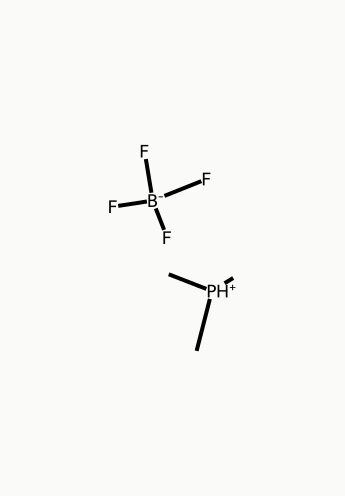 C[PH+](C)C.F[B-](F)(F)F